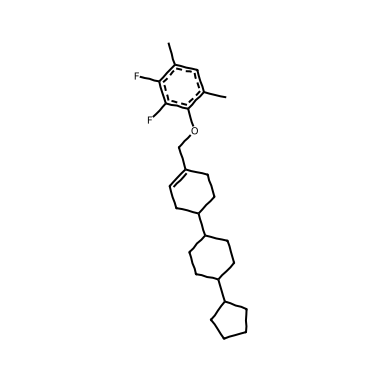 Cc1cc(C)c(OCC2=CCC(C3CCC(C4CCCC4)CC3)CC2)c(F)c1F